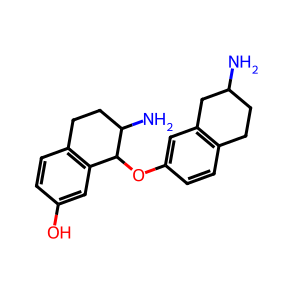 NC1CCc2ccc(OC3c4cc(O)ccc4CCC3N)cc2C1